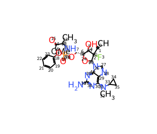 C#C[C@@]1(F)[C@H](O)[C@@H](CO[P@@](=O)(N[C@H](C)C(=O)OC)Oc2ccccc2)O[C@H]1n1cnc2c(N(C)C3CC3)nc(N)nc21